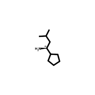 CC(C)C[C@H](N)C1CCCC1